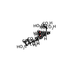 O=C(O)C[C@H](NC(=O)NC(CCCCNC(=O)[C@H](Cc1ccccc1)NC(=O)COc1ccc(C[C@H](NC(=O)CCNC(=O)CCC(C(=O)O)N2CCN(CC(=O)O)CCN(CC(=O)O)CCN(CC(=O)O)CC2)C(=O)NCC(=O)NC(P(=O)(O)O)P(=O)(O)O)cc1)C(=O)O)C(=O)O